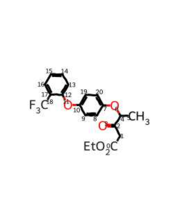 CCOC(=O)CC(=O)C(C)Oc1ccc(Oc2ccccc2C(F)(F)F)cc1